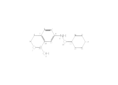 OB1OCCc2ccc(NOC3CCCCC3)cc21